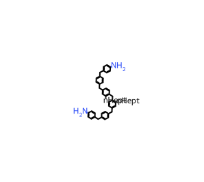 CCCCCCCc1cc(Cc2ccc(Cc3ccc(N)cc3)cc2)ccc1Cc1ccc(Cc2ccc(Cc3ccc(N)cc3)cc2)cc1CCCCCCC